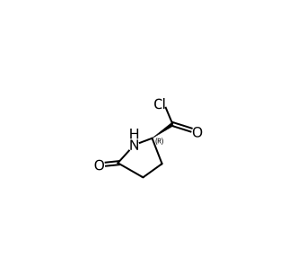 O=C1CC[C@H](C(=O)Cl)N1